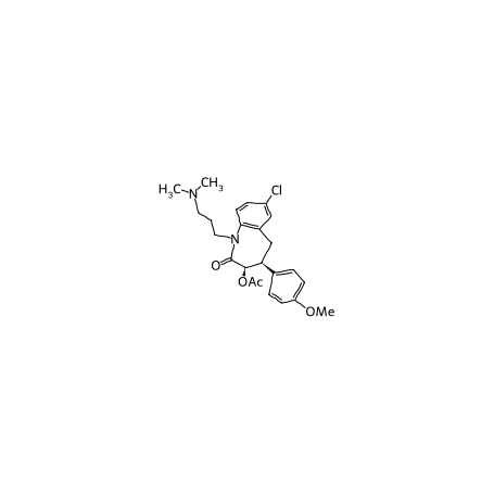 COc1ccc([C@@H]2Cc3cc(Cl)ccc3N(CCCN(C)C)C(=O)[C@@H]2OC(C)=O)cc1